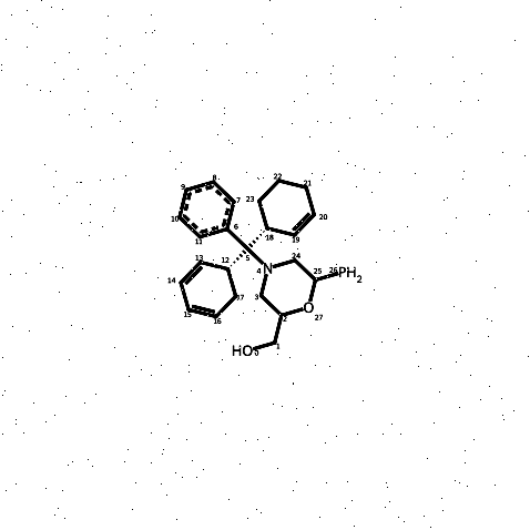 OCC1CN(C(c2ccccc2)([C@H]2C=CC=CC2)[C@H]2C=CCCC2)CC(P)O1